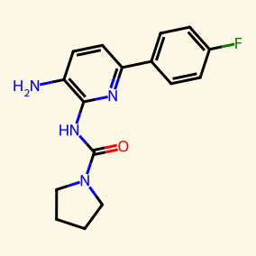 Nc1ccc(-c2ccc(F)cc2)nc1NC(=O)N1CCCC1